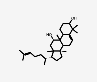 CC(C)=CCCC(C)[C@H]1CC[C@@]2(C)C3CC=C4C(CCC(O)C4(C)C)C3(C)[C@H](O)CC12C